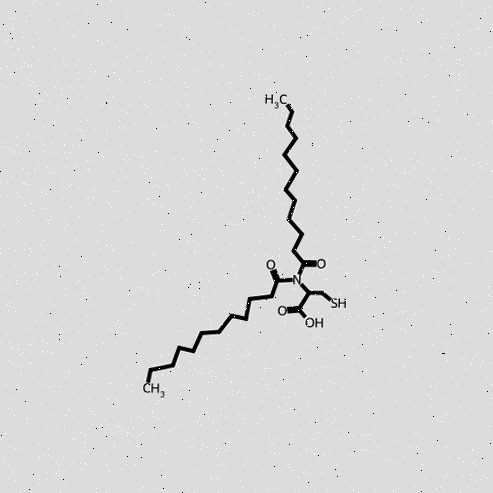 CCCCCCCCCCCC(=O)N(C(=O)CCCCCCCCCCC)C(CS)C(=O)O